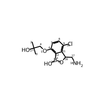 CC(C)(O)COc1ccc(Cl)c2c1B(O)OC2CN